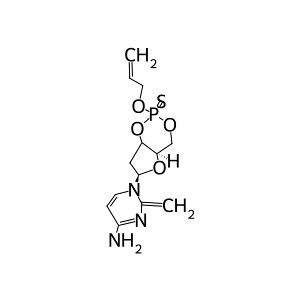 C=CCOP1(=S)OC[C@H]2O[C@@H](N3C=CC(N)=NC3=C)CC2O1